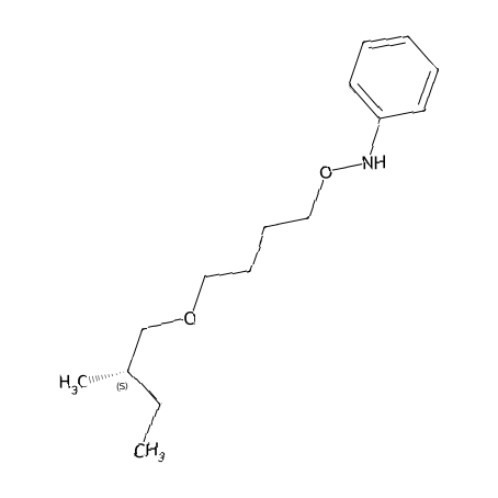 CC[C@H](C)COCCCCONc1ccccc1